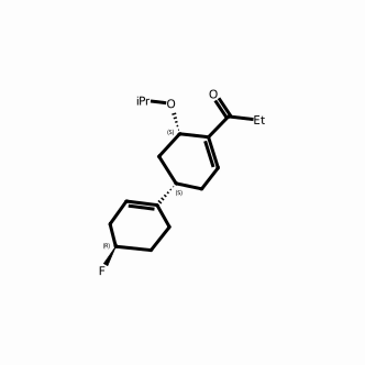 CCC(=O)C1=CC[C@H](C2=CC[C@H](F)CC2)C[C@@H]1OC(C)C